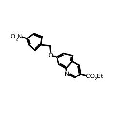 CCOC(=O)c1cnc2cc(OCc3ccc([N+](=O)[O-])cc3)ccc2c1